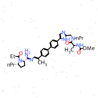 CCC[C@H]1CC[C@@H](/C(N)=N/C=C(\C)c2ccc(-c3ccc(-c4cnc(CN(CCC)C(=O)[C@H](C)NC(=O)OC)[nH]4)cc3)cc2)N1C(=O)CC